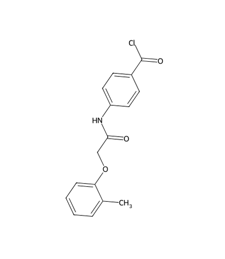 Cc1ccccc1OCC(=O)Nc1ccc(C(=O)Cl)cc1